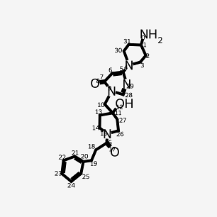 NC1CCN(c2cc(=O)n(CC3(O)CCN(C(=O)CCc4ccccc4)CC3)cn2)CC1